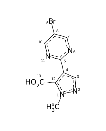 Cn1ncc(-c2ncc(Br)cn2)c1C(=O)O